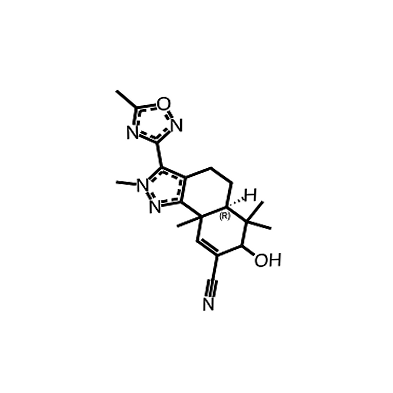 Cc1nc(-c2c3c(nn2C)C2(C)C=C(C#N)C(O)C(C)(C)[C@@H]2CC3)no1